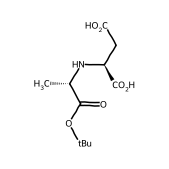 C[C@H](N[C@@H](CC(=O)O)C(=O)O)C(=O)OC(C)(C)C